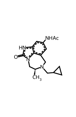 CC(=O)Nc1cc2c3c(c1)[nH]c(=O)n3C[C@H](C)N(CC1CC1)C2